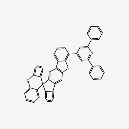 c1ccc(-c2cc(-c3cccc4c3sc3cc5c(cc34)C3(c4ccccc4Oc4ccccc43)c3ccccc3-5)nc(-c3ccccc3)n2)cc1